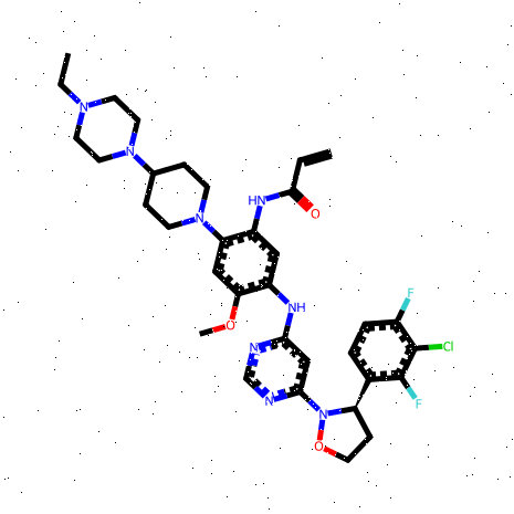 C=CC(=O)Nc1cc(Nc2cc(N3OCC[C@@H]3c3ccc(F)c(Cl)c3F)ncn2)c(OC)cc1N1CCC(N2CCN(CC)CC2)CC1